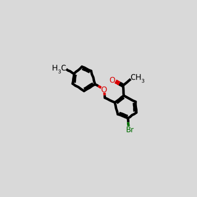 CC(=O)c1ccc(Br)cc1COc1ccc(C)cc1